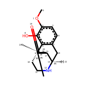 COc1ccc2c(c1O)[C@]13CCN[C@H](C2)C1CCC(=O)[C@@H]3C